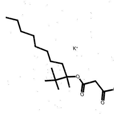 CCCCCCCCC(C)(OC(=O)CC(=O)[O-])C(C)(C)C.[K+]